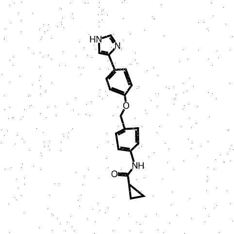 O=C(Nc1ccc(COc2ccc(-c3c[nH]cn3)cc2)cc1)C1CC1